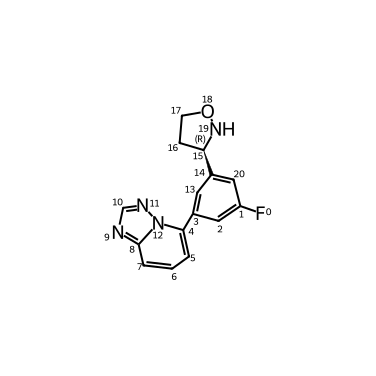 Fc1cc(-c2cccc3ncnn23)cc([C@H]2CCON2)c1